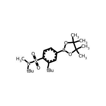 CN(C(C)(C)C)S(=O)(=O)c1ccc(B2OC(C)(C)C(C)(C)O2)cc1C(C)(C)C